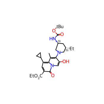 CCOC(=O)c1cc(C2CC2)c2c(C)c(N3C[C@@H](CC)C[C@H](NC(=O)OC(C)(C)C)C3)c(O)cn2c1=O